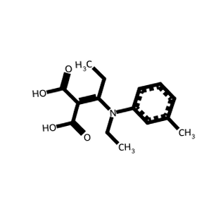 CCC(=C(C(=O)O)C(=O)O)N(CC)c1cccc(C)c1